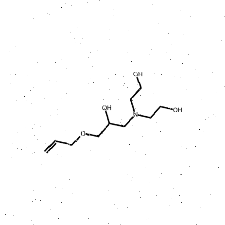 C=CCOCC(O)CN(CCO)CCO